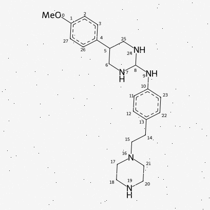 COc1ccc(C2CNC(Nc3ccc(CCN4CCNCC4)cc3)NC2)cc1